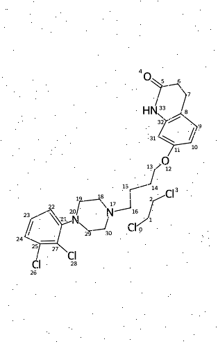 ClCCCl.O=C1CCc2ccc(OCCCCN3CCN(c4cccc(Cl)c4Cl)CC3)cc2N1